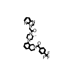 C[C@@H]1CN(c2cccc3c2CN(C(=O)c2ccc(C(F)(F)F)cc2)CC3)CCN1C(=O)Cn1cnc2cccnc21